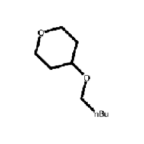 CCCCCOC1CCOCC1